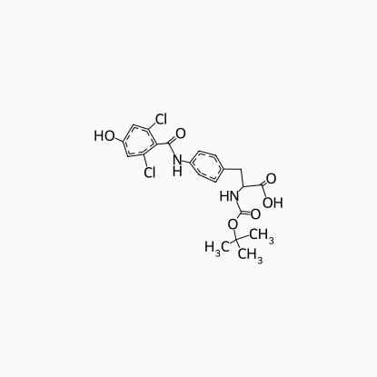 CC(C)(C)OC(=O)NC(Cc1ccc(NC(=O)c2c(Cl)cc(O)cc2Cl)cc1)C(=O)O